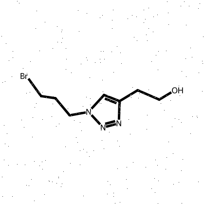 OCCc1cn(CCCBr)nn1